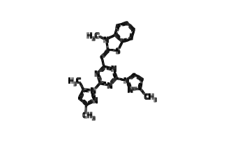 Cc1ccn(-c2nc(/C=C3\Sc4ccccc4N3C)nc(-n3nc(C)cc3C)n2)n1